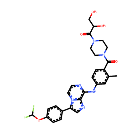 Cc1cc(Nc2nccn3c(-c4ccc(OC(F)F)cc4)cnc23)ccc1C(=O)N1CCN(C(=O)C(O)CO)CC1